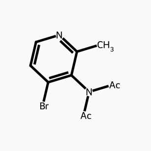 CC(=O)N(C(C)=O)c1c(Br)ccnc1C